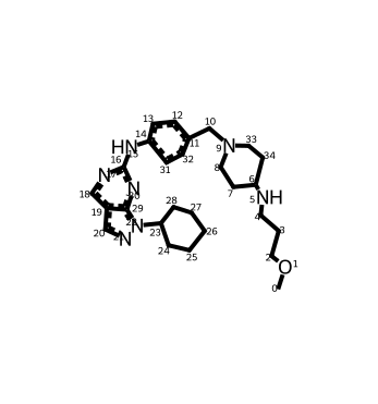 COCCCNC1CCN(Cc2ccc(Nc3ncc4cnn(C5CCCCC5)c4n3)cc2)CC1